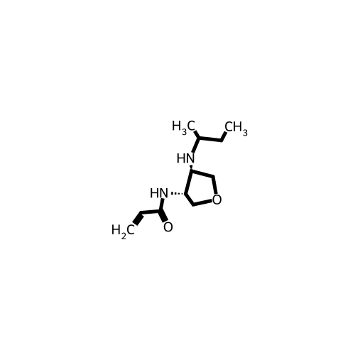 C=CC(=O)N[C@H]1COC[C@H]1NC(C)CC